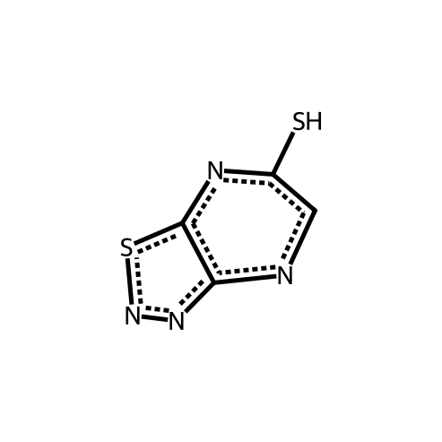 Sc1cnc2nnsc2n1